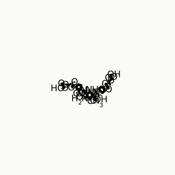 Cc1c(N)c(/N=N/c2ccc(S(=O)(=O)CCOS(=O)(=O)O)cc2S(=O)(=O)O)c(N)c(/N=N/c2ccc(S(=O)(=O)CCOS(=O)(=O)O)cc2)c1S(=O)(=O)O